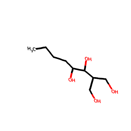 CCCCC(O)C(O)C(CO)CO